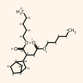 CCCCCOC(=O)CC(C(=O)OCCCCC)C1CC2CCC1C2